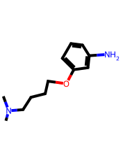 CN(C)CCCCOc1cccc(N)c1